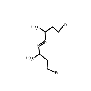 CC(C)CCC(N=NC(CCC(C)C)C(=O)O)C(=O)O